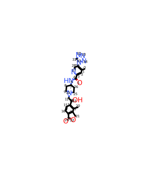 Cc1cc(C(=O)NC2CCN(C[C@H](O)c3ccc4c(c3C)COC4=O)CC2)ncc1-n1cnnn1